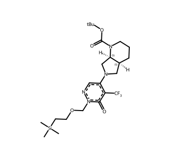 CC(C)(C)OC(=O)N1CCC[C@H]2CN(c3cnn(COCC[Si](C)(C)C)c(=O)c3C(F)(F)F)C[C@H]21